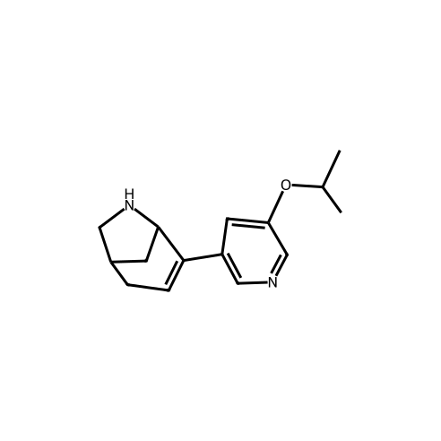 CC(C)Oc1cncc(C2=CCC3CNC2C3)c1